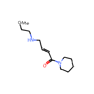 COCCNC/C=C/C(=O)N1CC[CH]CC1